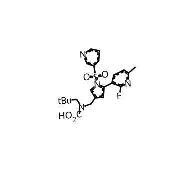 Cc1ccc(-c2cc(CN(CC(C)(C)C)C(=O)O)cn2S(=O)(=O)c2cccnc2)c(F)n1